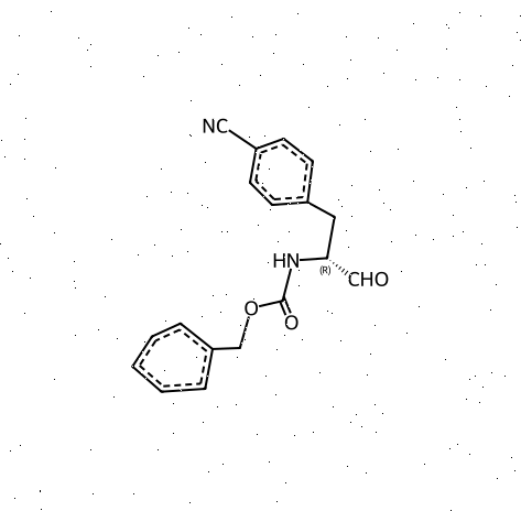 N#Cc1ccc(C[C@H](C=O)NC(=O)OCc2ccccc2)cc1